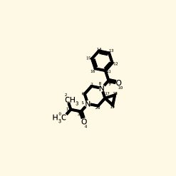 CC(C)C(=O)N1CCN(C(=O)c2ccccc2)C2(CC2)C1